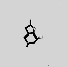 Cc1cc(Cl)c2c(c1)CC(C)O2